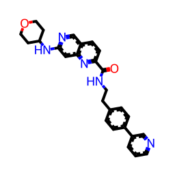 O=C(NCCc1ccc(-c2cccnc2)cc1)c1ccc2cnc(NC3CCOCC3)cc2n1